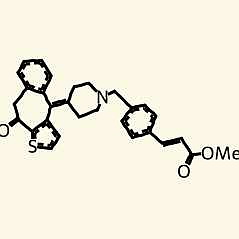 COC(=O)/C=C/c1ccc(CN2CCC(=C3c4ccccc4CC(=O)c4sccc43)CC2)cc1